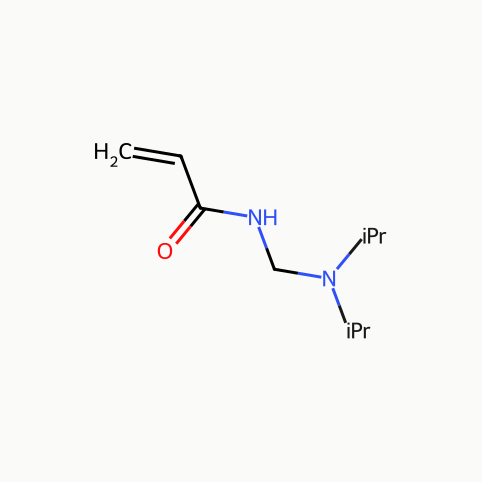 C=CC(=O)NCN(C(C)C)C(C)C